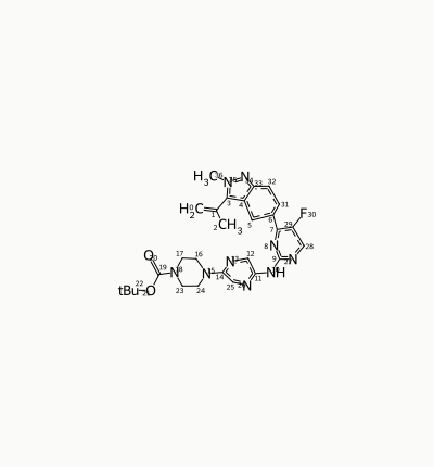 C=C(C)c1c2cc(-c3nc(Nc4cnc(N5CCN(C(=O)OC(C)(C)C)CC5)cn4)ncc3F)ccc2nn1C